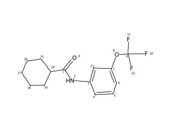 O=C(Nc1cccc(OC(F)(F)F)c1)C1CCCCC1